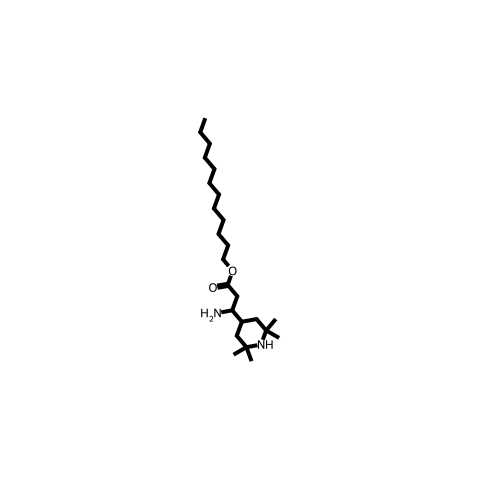 CCCCCCCCCCCCOC(=O)CC(N)C1CC(C)(C)NC(C)(C)C1